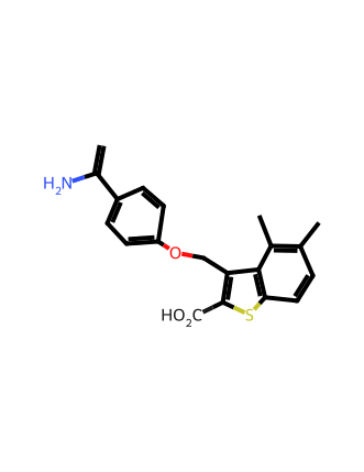 C=C(N)c1ccc(OCc2c(C(=O)O)sc3ccc(C)c(C)c23)cc1